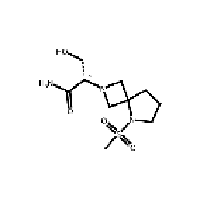 CS(=O)(=O)N1CCCC12CN([C@@H](CO)C(N)=O)C2